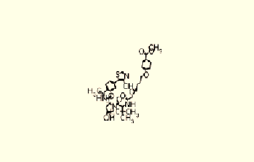 COC(=O)c1ccc(OCCCCOCC(=O)NC(C(=O)N2C[C@H](O)C[C@H]2C(=O)NN(C)c2ccc(-c3scnc3C)cc2)C(C)(C)C)cc1